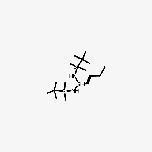 CCC=C[SiH](N[Si](C)(C)C(C)(C)C)N[Si](C)(C)C(C)(C)C